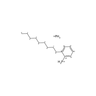 CCCCCCCCCc1ccccc1P.P